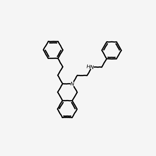 c1ccc(CCC2Cc3ccccc3CN2CCNCc2ccccc2)cc1